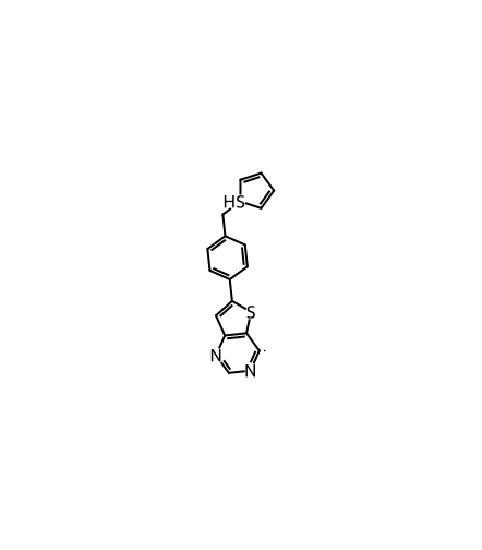 [c]1ncnc2cc(-c3ccc(C[SH]4C=CC=C4)cc3)sc12